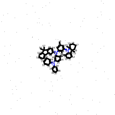 Cc1cc2c3c(c1)N1c4c(cccc4C4(C)CCCCC14C)B3c1ccc(N(c3ccccc3)c3ccccc3)cc1N2c1ccc2c(c1)-c1ccccc1C2(C)C